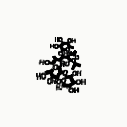 CC(=O)NC(C(O[C@@H]1OC(C)[C@@H](O)[C@H](O)C1O)[C@H](O[C@@H]1OC(CO)[C@H](O)C(O)C1O[C@@H]1O[C@@H](C)[C@@H](O)C(O)C1O)C(C)CO)[C@@H](O)OC(C)C